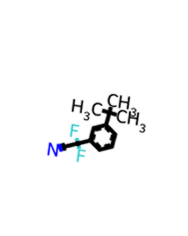 CC(C)(C)c1cccc(C(F)(F)C#N)c1